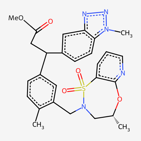 COC(=O)CC(c1ccc(C)c(CN2C[C@@H](C)Oc3ncccc3S2(=O)=O)c1)c1ccc2c(c1)nnn2C